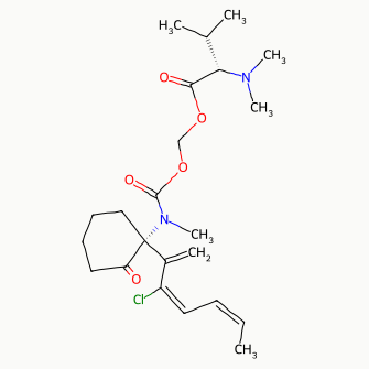 C=C(/C(Cl)=C\C=C/C)[C@]1(N(C)C(=O)OCOC(=O)[C@H](C(C)C)N(C)C)CCCCC1=O